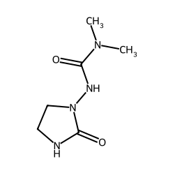 CN(C)C(=O)NN1CCNC1=O